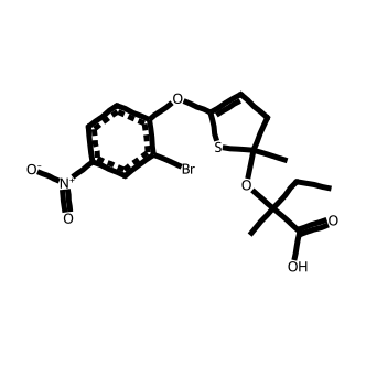 CCC(C)(OC1(C)CC=C(Oc2ccc([N+](=O)[O-])cc2Br)S1)C(=O)O